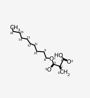 C=C(C(=O)O)C(=O)OCCCCCCCCCC